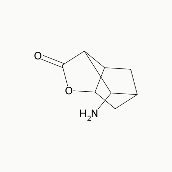 NC1C2CC3OC(=O)C1C3C2